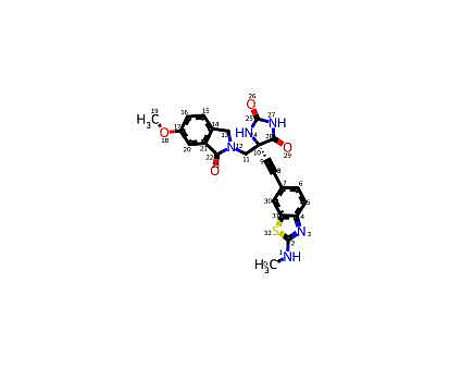 CNc1nc2ccc(C#C[C@]3(CN4Cc5ccc(OC)cc5C4=O)NC(=O)NC3=O)cc2s1